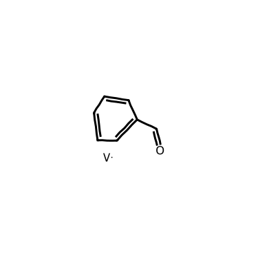 O=Cc1ccccc1.[V]